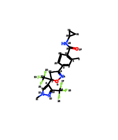 Cc1cc(C2=NOC(c3cn(C)nc3C(F)(F)F)(C(F)(F)F)C2)ccc1C(=O)NC1CC1